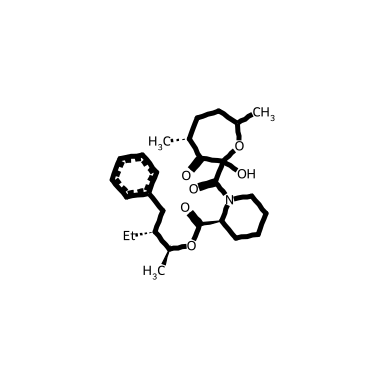 CC[C@H](Cc1ccccc1)[C@H](C)OC(=O)[C@@H]1CCCCN1C(=O)C1(O)OC(C)CC[C@@H](C)C1=O